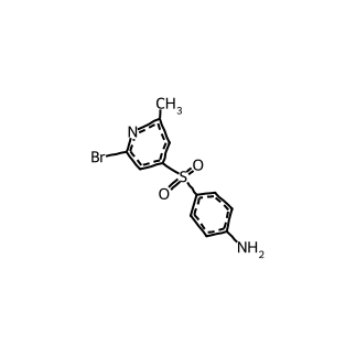 Cc1cc(S(=O)(=O)c2ccc(N)cc2)cc(Br)n1